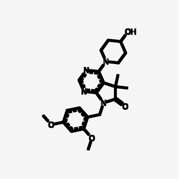 COc1ccc(CN2C(=O)C(C)(C)c3c(N4CCC(O)CC4)ncnc32)c(OC)c1